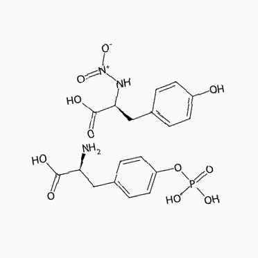 N[C@@H](Cc1ccc(OP(=O)(O)O)cc1)C(=O)O.O=C(O)[C@H](Cc1ccc(O)cc1)N[N+](=O)[O-]